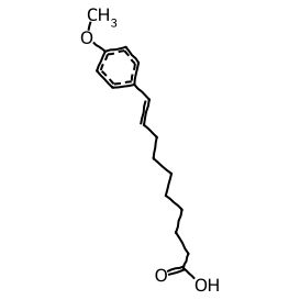 COc1ccc(C=CCCCCCCCC(=O)O)cc1